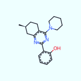 C[C@H]1CCc2c(nc(-c3ccccc3O)nc2N2CCCCC2)C1